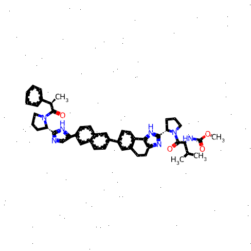 COC(=O)N[C@H](C(=O)N1CCC[C@H]1c1nc2c([nH]1)-c1ccc(-c3ccc4cc(-c5cnc([C@@H]6CCCN6C(=O)[C@H](C)c6ccccc6)[nH]5)ccc4c3)cc1CC2)C(C)C